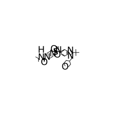 CC(C)NC(=O)N1CCN(S(=O)(=O)N(C)c2ccc3c(c2)nc(C(C)(C)C)n3CC2CCOCC2)CC1